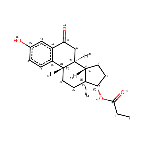 CCC(=O)O[C@H]1CC[C@H]2[C@@H]3CC(=O)c4cc(O)ccc4[C@H]3CC[C@]12C